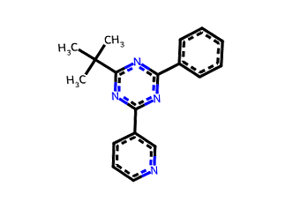 CC(C)(C)c1nc(-c2ccccc2)nc(-c2cccnc2)n1